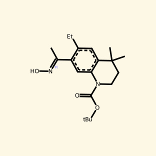 CCc1cc2c(cc1/C(C)=N/O)N(C(=O)OC(C)(C)C)CCC2(C)C